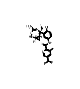 Cc1cc(C(F)F)cnc1C(=O)Nc1ccc(Cl)c([C@@]2(CF)N=C(N)ON[C@@H]3C[C@@H]32)c1